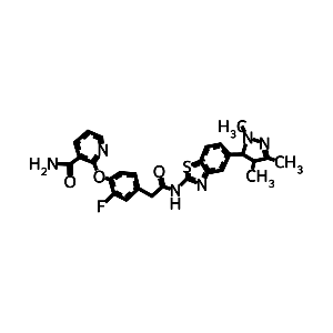 CC1=NN(C)C(c2ccc3sc(NC(=O)Cc4ccc(Oc5ncccc5C(N)=O)c(F)c4)nc3c2)C1C